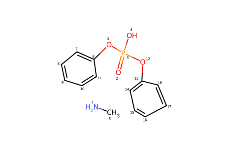 CN.O=P(O)(Oc1ccccc1)Oc1ccccc1